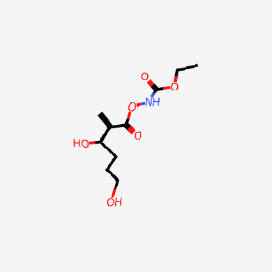 C=C(C(=O)ONC(=O)OCC)C(O)CCCO